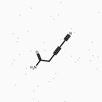 N#CC#CCC(N)=O